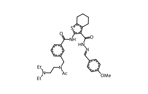 CCN(CC)CCN(Cc1cccc(C(=O)Nc2sc3c(c2C(=O)NN=Cc2ccc(OC)cc2)CCCC3)c1)C(C)=O